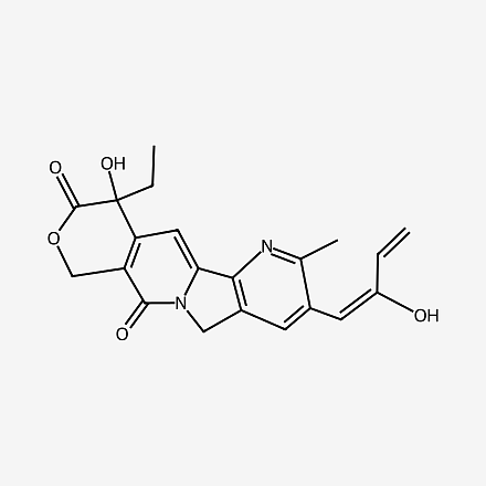 C=C/C(O)=C\c1cc2c(nc1C)-c1cc3c(c(=O)n1C2)COC(=O)C3(O)CC